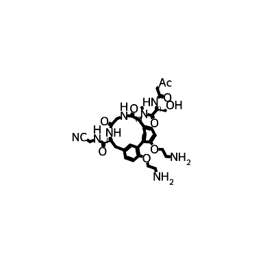 CC(=O)CC(=O)N[C@@H](CO)C(=O)N(C)[C@@H]1C(=O)NCC(=O)N[C@H](C(=O)NCC#N)Cc2ccc(OCCN)c(c2)-c2cc1ccc2OCCN